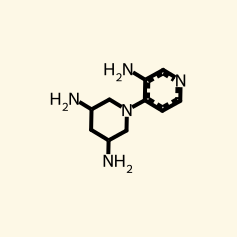 Nc1cnccc1N1CC(N)CC(N)C1